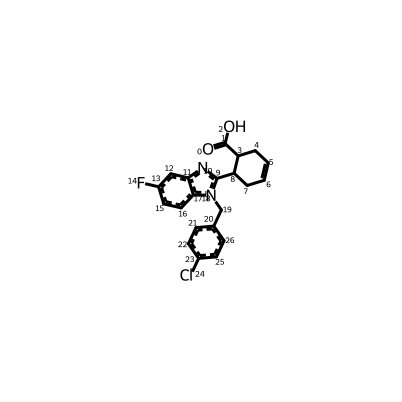 O=C(O)C1CC=CCC1c1nc2cc(F)ccc2n1Cc1ccc(Cl)cc1